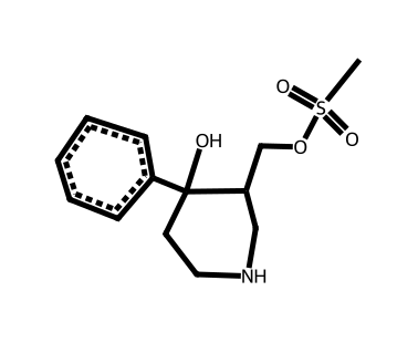 CS(=O)(=O)OCC1CNCCC1(O)c1ccccc1